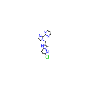 Cc1c(Cn2ccnc2-c2ncccn2)nc2ccc(Cl)nn12